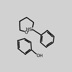 Oc1ccccc1.c1ccc([SiH]2CCCCO2)cc1